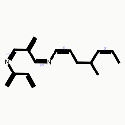 C=CC(=C)/N=C\C(=C)/C=N\C=C/CC(C)/C=C\C